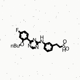 CCCCOc1cc(F)ccc1-c1ncnc(Nc2cccc(CC[SH](=O)=O)c2)n1